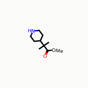 COC(=O)C(C)(C)C1CCNCC1